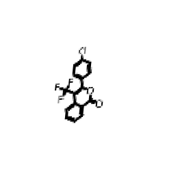 O=c1oc(-c2ccc(Cl)cc2)c(C(F)(F)F)c2ccccc12